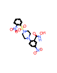 O=C(NO)c1cc([N+](=O)[O-])ccc1N1CCN(S(=O)(=O)c2ccccc2[N+](=O)[O-])CC1